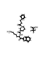 NCCCCC(NC(=O)[C@@H]1CCCN(C(=O)CCc2ccccc2)C1)C(=O)c1nc2ccccc2s1.O=C(O)C(F)(F)F